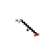 CCCCCCCCCCCCCCCCS(=O)[O-].[K+]